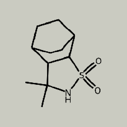 CC1(C)NS(=O)(=O)C2C3CCC(CC3)C21